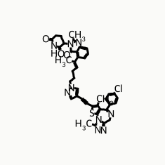 C/C(=C\CCCn1cc(C#Cc2sc3c(c2C)C(c2ccc(Cl)cc2)=NCc2nnc(C)n2-3)cn1)c1cccc2nc(C)n(C3CCC(=O)NC3=O)c(=O)c12